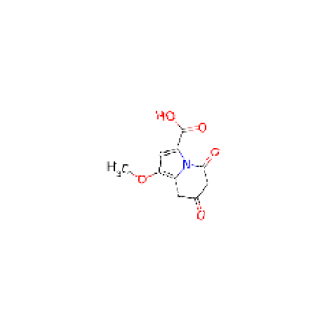 COc1cc(C(=O)O)n2c1CC(=O)CC2=O